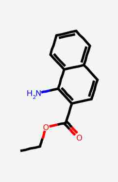 CCOC(=O)c1ccc2ccccc2c1N